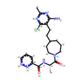 Cc1nc(N)c(CCC2CCCN(C(=O)[C@H](C)NC(=O)c3cccnn3)CC2)c(Cl)n1